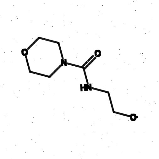 [O]CCNC(=O)N1CCOCC1